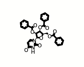 O=C(OC[C@H]1O[C@H](n2ccc(=O)[nH]c2=O)[C@@H](OC(=O)c2ccccc2)[C@@H]1OC(=O)c1ccccc1)c1ccccc1